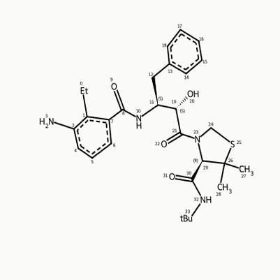 CCc1c(N)cccc1C(=O)N[C@@H](Cc1ccccc1)[C@H](O)C(=O)N1CSC(C)(C)[C@H]1C(=O)NC(C)(C)C